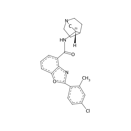 Cc1cc(Cl)ccc1-c1nc2c(C(=O)N[C@@H]3CN4CCC3CC4)cccc2o1